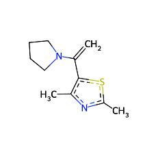 C=C(c1sc(C)nc1C)N1CCCC1